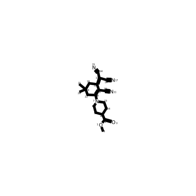 COC(=O)C1CCN(C2=C(C#N)C(=C(C#N)C#N)CC(C)(C)C2)CC1